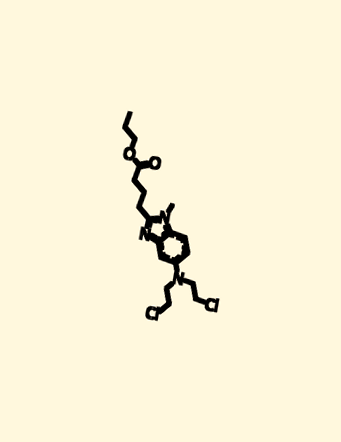 CCCOC(=O)CCCc1nc2cc(N(CCCl)CCCl)ccc2n1C